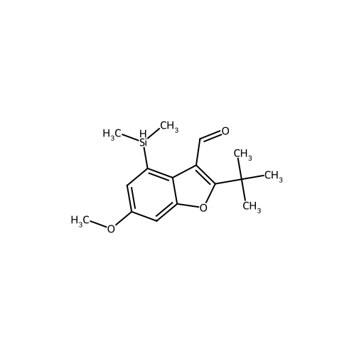 COc1cc([SiH](C)C)c2c(C=O)c(C(C)(C)C)oc2c1